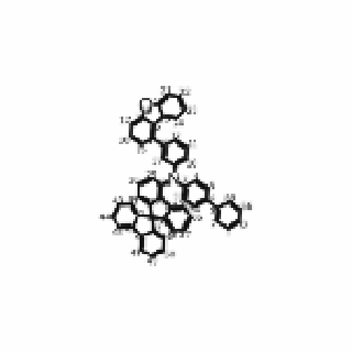 c1ccc(-c2ccc(N(c3cccc(-c4cccc5oc6ccccc6c45)c3)c3cccc4c3-c3ccccc3C43c4ccccc4-c4ccccc43)cc2)cc1